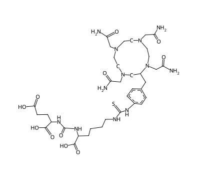 NC(=O)CN1CCN(CC(N)=O)CCN(CC(N)=O)C(Cc2ccc(NC(=S)NCCCCC(NC(=O)NC(CCC(=O)O)C(=O)O)C(=O)O)cc2)CN(CC(N)=O)CC1